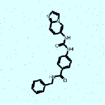 O=C(Nc1ccc(C(=O)NCc2ccccc2)cc1)Nc1ccc2nccn2c1